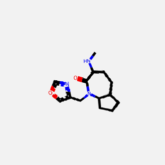 CNC1CCC2CCCC2N(Cc2cocn2)C1=O